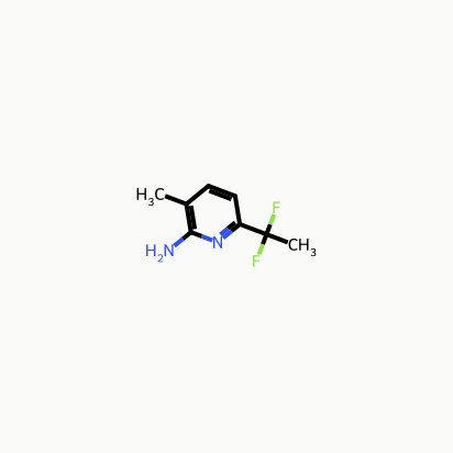 Cc1ccc(C(C)(F)F)nc1N